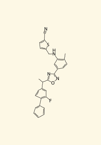 Cc1ccc(-c2noc(C(C)c3ccc(-c4ccccc4)c(F)c3)n2)cc1NCc1ccc(C#N)s1